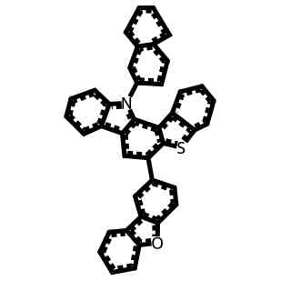 c1ccc2cc(-n3c4ccccc4c4cc(-c5ccc6oc7ccccc7c6c5)c5sc6ccccc6c5c43)ccc2c1